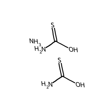 N.NC(O)=S.NC(O)=S